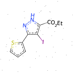 CCOC(=O)c1[nH]nc(-c2cccs2)c1I